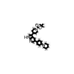 CC(C)(C)OC(=O)N1CC=C(c2c[nH]c3ncc(-c4ccc(N5CCCCC5)cc4)cc23)CC1